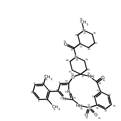 Cc1cccc(C)c1-c1cc2nc(n1)NS(=O)(=O)c1cccc(c1)C(=O)NC1(CCN(C(=O)C3CCCN(C)C3)CC1)O2